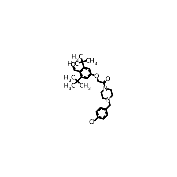 CC(C)(C)c1cc(OCC(=O)N2CCN(Cc3ccc(Cl)cc3)CC2)cc(C(C)(C)C)c1C=O